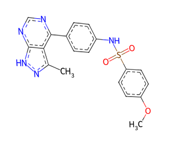 COc1ccc(S(=O)(=O)Nc2ccc(-c3ncnc4[nH]nc(C)c34)cc2)cc1